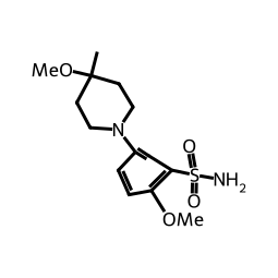 COc1ccc(N2CCC(C)(OC)CC2)cc1S(N)(=O)=O